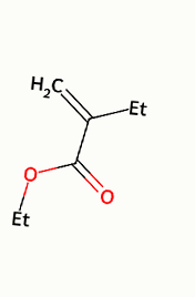 [CH2]COC(=O)C(=C)CC